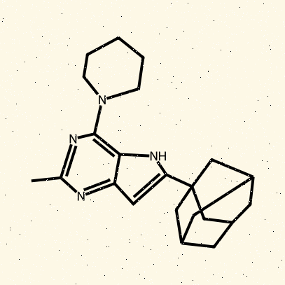 Cc1nc(N2CCCCC2)c2[nH]c(C34CC5CC(CC(C5)C3)C4)cc2n1